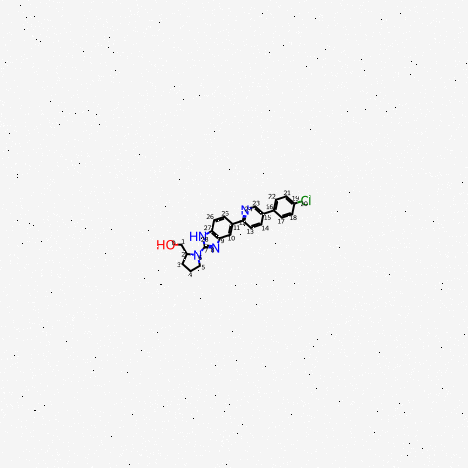 OCC1CCCN1c1nc2cc(-c3ccc(-c4ccc(Cl)cc4)cn3)ccc2[nH]1